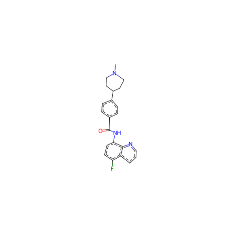 CN1CCC(c2ccc(C(=O)Nc3ccc(F)c4cccnc34)cc2)CC1